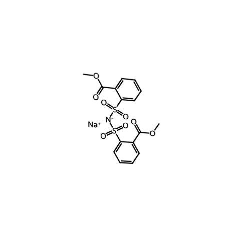 COC(=O)c1ccccc1S(=O)(=O)[N-]S(=O)(=O)c1ccccc1C(=O)OC.[Na+]